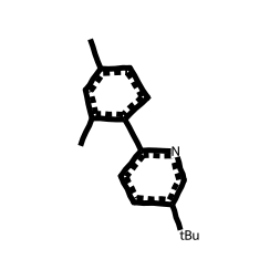 Cc1ccc(-c2ccc(C(C)(C)C)cn2)c(C)c1